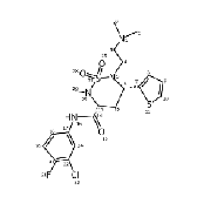 CN(C)CCN1[C@H](c2cccs2)C[C@H](C(=O)Nc2ccc(F)c(Cl)c2)N(C)S1(=O)=O